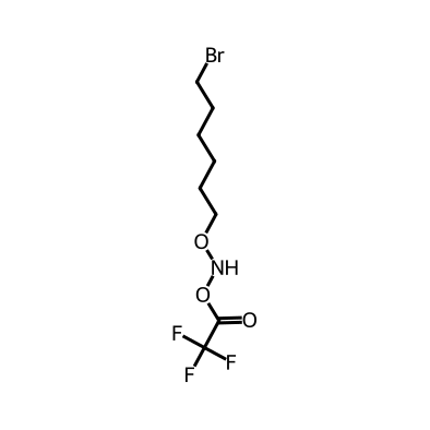 O=C(ONOCCCCCCBr)C(F)(F)F